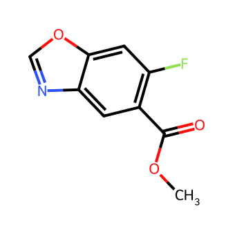 COC(=O)c1cc2ncoc2cc1F